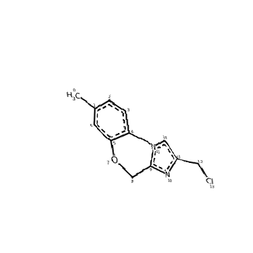 Cc1ccc2c(c1)OCc1nc(CCl)cn1-2